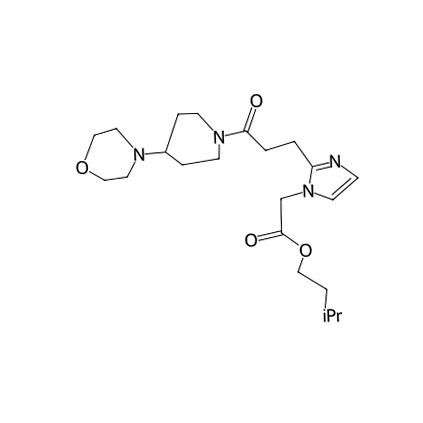 CC(C)CCOC(=O)Cn1ccnc1CCC(=O)N1CCC(N2CCOCC2)CC1